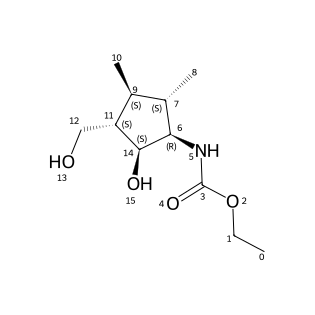 CCOC(=O)N[C@@H]1[C@@H](C)[C@H](C)[C@@H](CO)[C@@H]1O